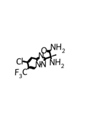 C[C@](N)(C(N)=O)c1nc2cc(Cl)c(C(F)(F)F)cn2n1